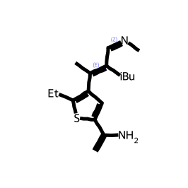 C=C(N)c1cc(/C(C)=C(/C=N\C)C(C)CC)c(CC)s1